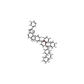 c1ccc(-c2nc3ccc4oc5cc(-c6ccc(N(c7ccc8c(ccc9ccccc98)c7)c7ccccc7-c7ccccc7)cc6)ccc5c4c3o2)cc1